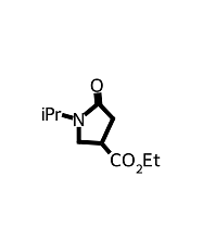 CCOC(=O)C1CC(=O)N(C(C)C)C1